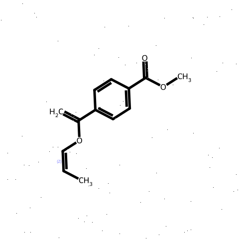 C=C(O/C=C\C)c1ccc(C(=O)OC)cc1